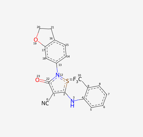 N#Cc1c(Nc2ccccc2C(F)(F)F)sn(-c2ccc3c(c2)OCC3)c1=O